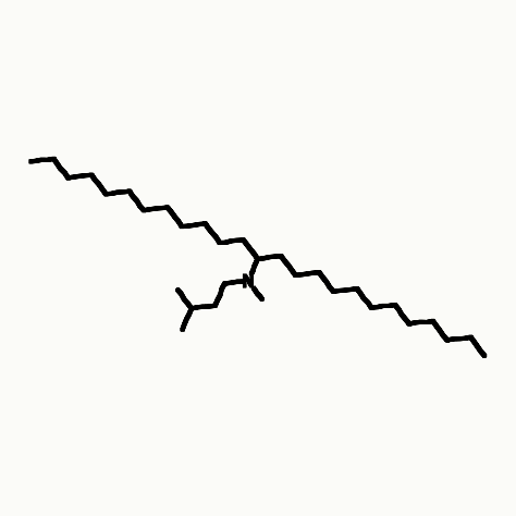 CCCCCCCCCCCCC(CCCCCCCCCCCC)N(C)CCC(C)C